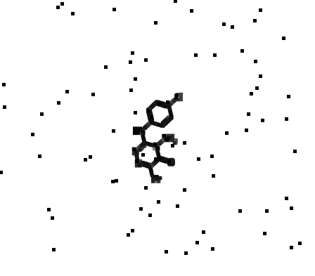 CC(C)c1nnc(Nc2ccc(Cl)cc2)n(N)c1=O